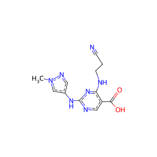 Cn1cc(Nc2ncc(C(=O)O)c(NCCC#N)n2)cn1